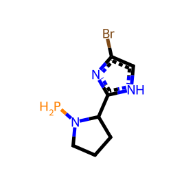 PN1CCCC1c1nc(Br)c[nH]1